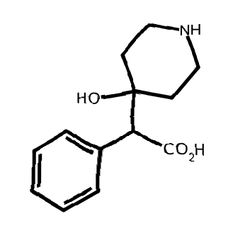 O=C(O)C(c1ccccc1)C1(O)CCNCC1